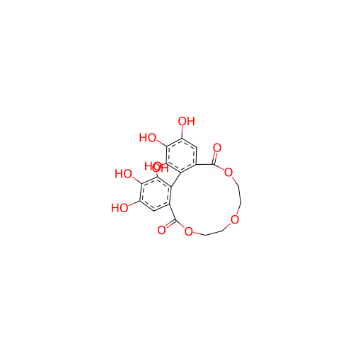 O=C1OCCOCCOC(=O)c2cc(O)c(O)c(O)c2-c2c1cc(O)c(O)c2O